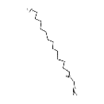 C#CCNCCCCCCCCCCCCCC